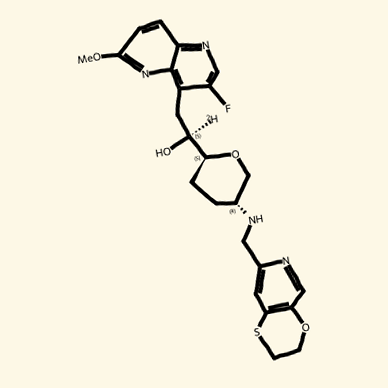 [2H][C@](O)(Cc1c(F)cnc2ccc(OC)nc12)[C@@H]1CC[C@@H](NCc2cc3c(cn2)OCCS3)CO1